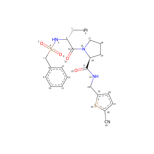 CC(C)C[C@@H](NS(=O)(=O)Cc1ccccc1)C(=O)N1CCC[C@H]1C(=O)NCc1ccc(C#N)s1